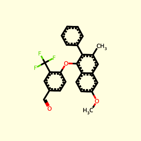 COc1ccc2c(Oc3ccc(C=O)cc3C(F)(F)F)c(-c3ccccc3)c(C)cc2c1